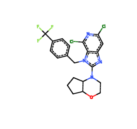 FC(F)(F)c1ccc(Cn2c(N3CCOC4CCCC43)nc3cc(Cl)nc(Cl)c32)cc1